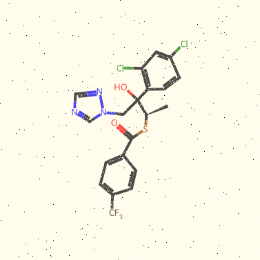 C[C@@H](SC(=O)c1ccc(C(F)(F)F)cc1)C(O)(Cn1cncn1)c1ccc(Cl)cc1Cl